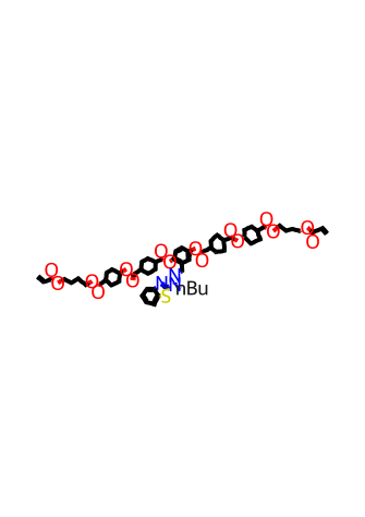 C=CC(=O)OCCCCOC(=O)C1CCC(OC(=O)C2CCC(C(=O)Oc3ccc(OC(=O)C4CCC(C(=O)OC5CCC(C(=O)OCCCCOC(=O)C=C)CC5)CC4)c(/C=N/N(CCCC)c4nc5ccccc5s4)c3)CC2)CC1